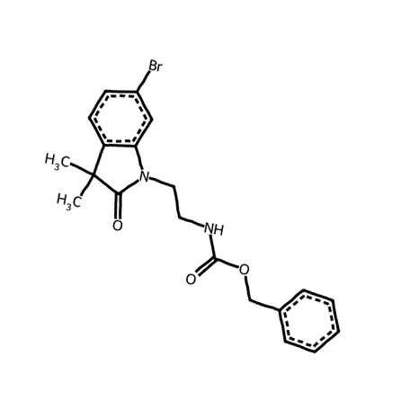 CC1(C)C(=O)N(CCNC(=O)OCc2ccccc2)c2cc(Br)ccc21